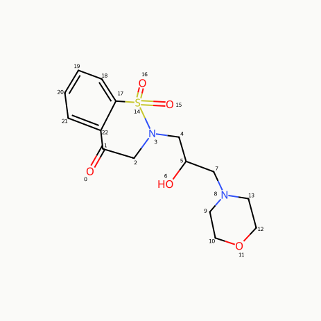 O=C1CN(CC(O)CN2CCOCC2)S(=O)(=O)c2ccccc21